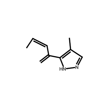 C=C(/C=C\C)c1[nH]ncc1C